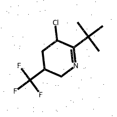 CC(C)(C)C1=NCC(C(F)(F)F)CC1Cl